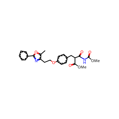 COC(=O)NC(=O)C(Cc1ccc(OCCc2nc(-c3ccccc3)oc2C)cc1)C(=O)OC